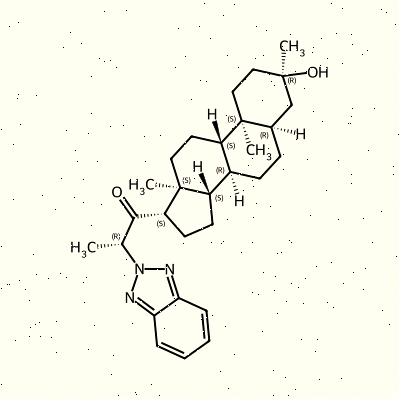 C[C@H](C(=O)[C@H]1CC[C@H]2[C@@H]3CC[C@@H]4C[C@](C)(O)CC[C@]4(C)[C@H]3CC[C@]12C)n1nc2ccccc2n1